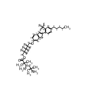 CCCCCc1ccc(-c2cc3ccc(OCC(F)(F)C(F)(F)C(F)(F)COC(=O)C(C)(C)C(N)CC(C)(C)N)cc3s2)c(C(F)(F)F)c1